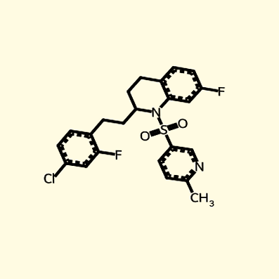 Cc1ccc(S(=O)(=O)N2c3cc(F)ccc3CCC2CCc2ccc(Cl)cc2F)cn1